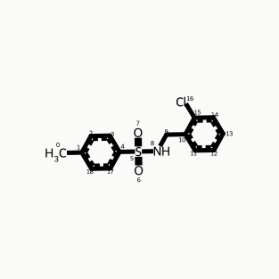 Cc1ccc(S(=O)(=O)NCc2ccccc2Cl)cc1